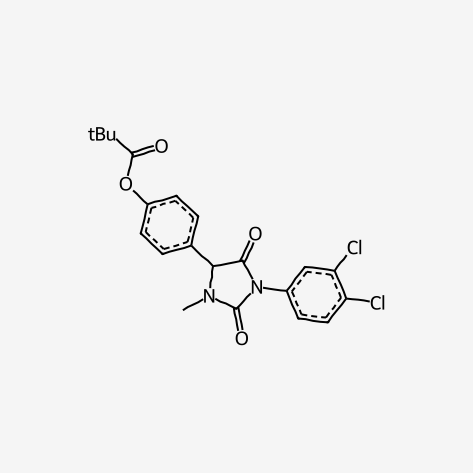 CN1C(=O)N(c2ccc(Cl)c(Cl)c2)C(=O)C1c1ccc(OC(=O)C(C)(C)C)cc1